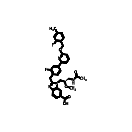 CO[C@@H](CNC(C)=O)Cn1c(Cc2ccc(-c3cccc(OCc4ccc(C)cc4F)n3)cc2F)nc2ccc(C(=O)O)cc21